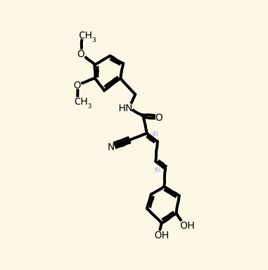 COc1ccc(CNC(=O)/C(C#N)=C/C=C/c2ccc(O)c(O)c2)cc1OC